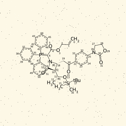 C=CCOC(=O)C(N1C(=O)[C@H]([C@@H](C)O[Si](C)(C)C(C)(C)C)[C@H]1CC(=O)c1ccc(N2CCOC2=O)cc1)=P(c1ccccc1)(c1ccccc1)c1ccccc1